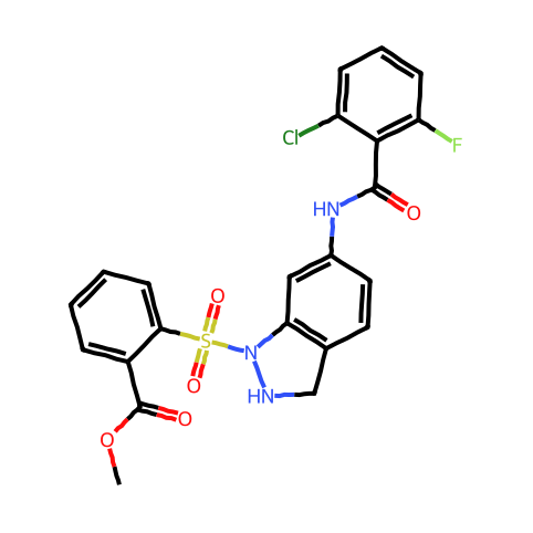 COC(=O)c1ccccc1S(=O)(=O)N1NCc2ccc(NC(=O)c3c(F)cccc3Cl)cc21